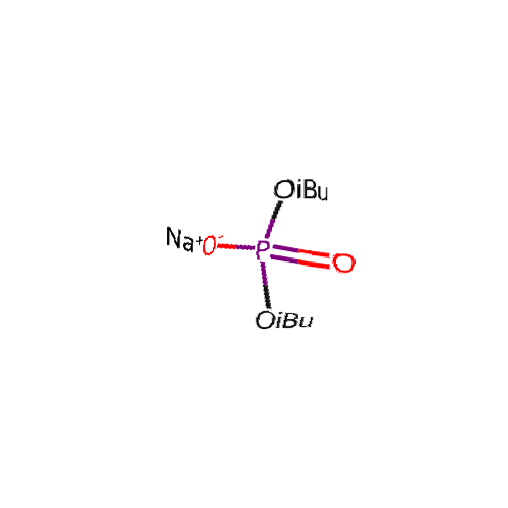 CC(C)COP(=O)([O-])OCC(C)C.[Na+]